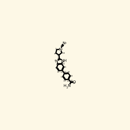 N#CN1CCC(c2nc3ccc(-c4ccc(C(N)=O)cc4)cc3[nH]2)C1